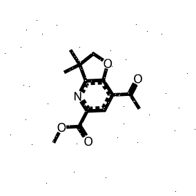 COC(=O)c1cc(C(C)=O)c2c(n1)C(C)(C)CO2